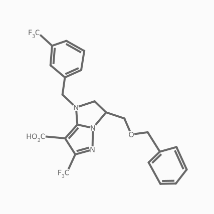 O=C(O)c1c(C(F)(F)F)nn2c1N(Cc1cccc(C(F)(F)F)c1)CC2COCc1ccccc1